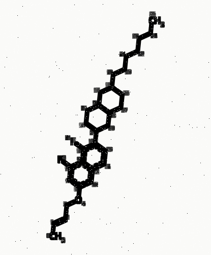 CC=CCOc1cc(F)c2c(F)c(C3CCC4CC(CCCCCCC)CCC4C3)ccc2c1